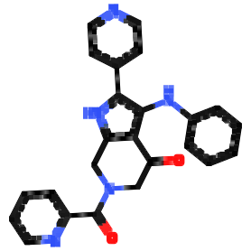 O=C1CN(C(=O)c2ccccn2)Cc2[nH]c(-c3ccncc3)c(Nc3ccccc3)c21